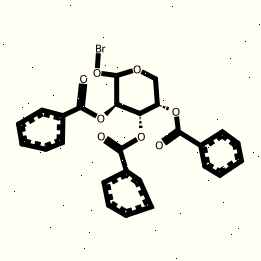 O=C(O[C@H]1[C@@H](OC(=O)c2ccccc2)COC(OBr)[C@@H]1OC(=O)c1ccccc1)c1ccccc1